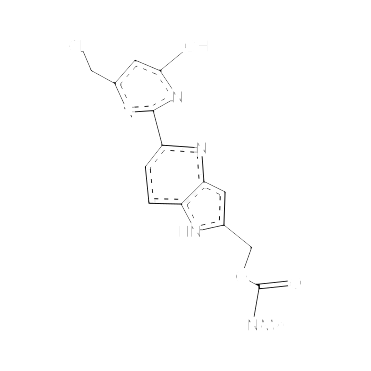 CNC(=O)OCc1cc2nc(-c3nc(O)cc(CCl)n3)ccc2[nH]1